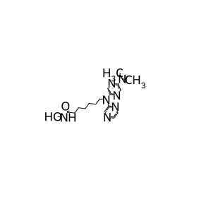 CN(C)c1cnc(N(CCCCCCC(=O)NO)c2cnccn2)cn1